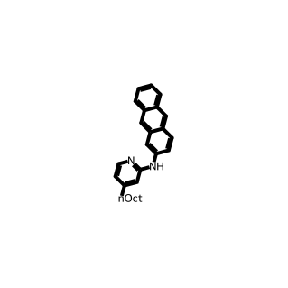 CCCCCCCCc1ccnc(Nc2ccc3cc4ccccc4cc3c2)c1